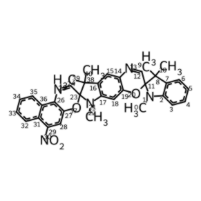 CN1c2ccccc2C(C)(C)C12C=Nc1cc3c(cc1O2)N(C)C1(C=Nc2c(cc([N+](=O)[O-])c4ccccc24)O1)C3(C)C